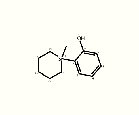 C[Si]1(c2ccccc2O)CCCCC1